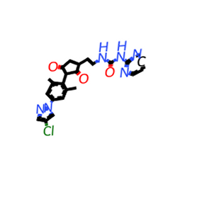 Cc1cc(-n2cc(Cl)cn2)cc(C)c1C1C(=O)CC(CCNC(=O)Nc2ncccn2)C1=O